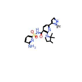 CC(C)n1nccc1-c1ccc(C(=O)NS(=O)(=O)c2cccc(N)n2)c(N2CCC(C)C2(C)C)n1